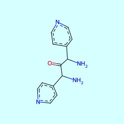 NC(C(=O)C(N)c1ccncc1)c1ccncc1